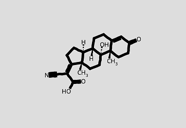 C[C@]12CCC(=O)C=C1CC[C@H]1[C@@H]3CCC(=C(C#N)C(=O)O)[C@@]3(C)CC[C@@]12O